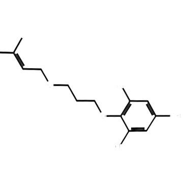 CC(C)=CCOCCCOc1c(Cl)cc(O)cc1Cl